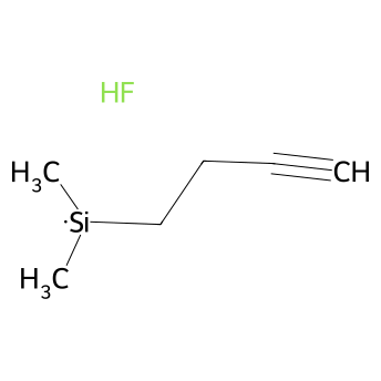 C#CCC[Si](C)C.F